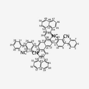 N#Cc1c(-c2ccccc2)ccc(-c2cc3c4cc5c(cc4c(-c4ccc(-c6ccccc6)c(C#N)c4C#N)cc3c3cc4c(cc23)-c2cccc3cccc-4c23)-c2cccc3cccc-5c23)c1C#N